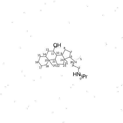 CC(C)NCC[C@@H](C)C1CCC2C3C(O)CC4CCCCC4(C)C3CCC21C